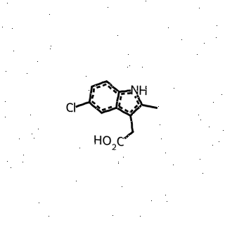 Cc1[nH]c2ccc(Cl)cc2c1CC(=O)O